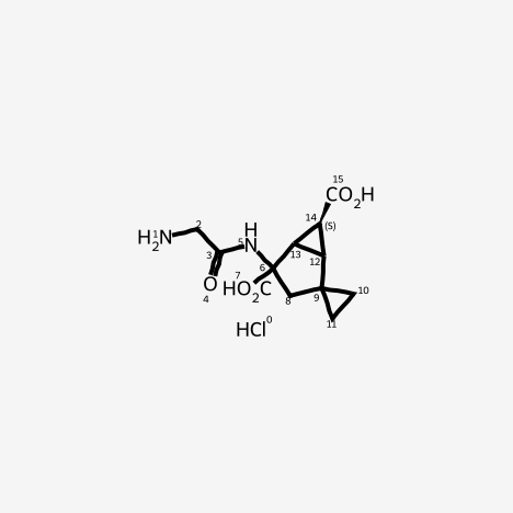 Cl.NCC(=O)NC1(C(=O)O)CC2(CC2)C2C1[C@H]2C(=O)O